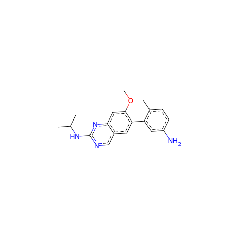 COc1cc2nc(NC(C)C)ncc2cc1-c1cc(N)ccc1C